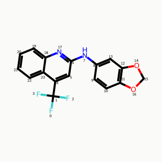 FC(F)(F)c1cc(Nc2ccc3c(c2)OCO3)nc2ccccc12